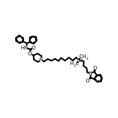 C[N+](C)(CCCCCCCCCCN1CCC(OC(=O)NC(c2ccccc2)c2ccccc2)CC1)CCCCN1C(=O)c2ccccc2C1=O